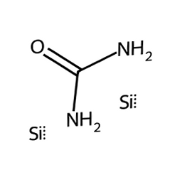 NC(N)=O.[Si].[Si]